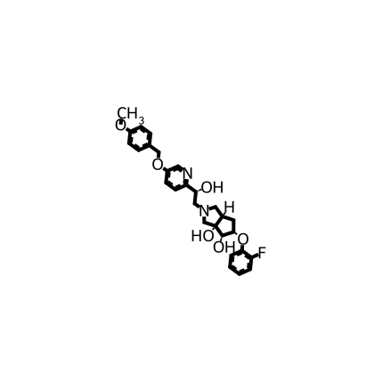 COc1ccc(COc2ccc([C@H](O)CN3C[C@H]4C[C@H](Oc5ccccc5F)[C@H](O)[C@@]4(O)C3)nc2)cc1